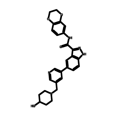 O=C(Nc1ccc2c(c1)OCCO2)c1n[nH]c2ccc(-c3cncc(CN4CCC(O)CC4)c3)cc12